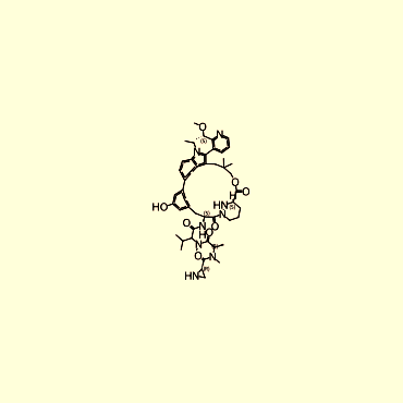 CCn1c(-c2cccnc2[C@H](C)OC)c2c3cc(ccc31)-c1cc(O)cc(c1)C[C@H](NC(=O)C(C(C)C)N(C)C(=O)[C@@H](C)N(C)C(=O)[C@H]1CN1)C(=O)N1CCC[C@H](N1)C(=O)OCC(C)(C)C2